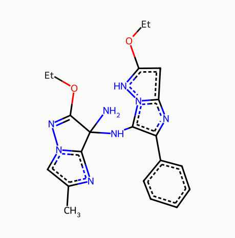 CCOC1=Nn2cc(C)nc2C1(N)Nc1c(-c2ccccc2)nc2cc(OCC)[nH]n12